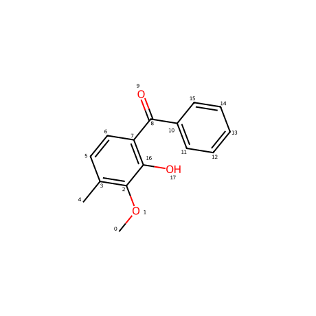 COc1c(C)ccc(C(=O)c2ccccc2)c1O